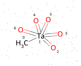 [CH3][Ta](=[O])(=[O])(=[O])(=[O])=[O]